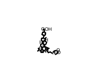 C=C(C)[C@@H]1CC[C@]2(CN(CCCN3CCS(=O)(=O)CC3)C3CC3)CC[C@]3(C)[C@H](CC[C@@H]4[C@@]5(C)CC=C(c6ccc(C(=O)O)cc6)C(C)(C)[C@@H]5CC[C@]43C)[C@@H]12